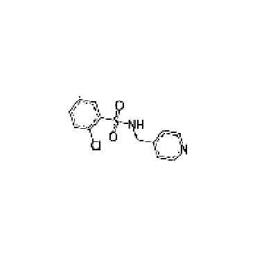 O=S(=O)(NCc1ccncc1)c1c[c]ccc1Cl